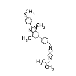 CSc1ccc(-c2nc3c(C)cc(-c4ccc(CN5CC6(C5)CN(CC(C)C)C6)cc4)cc3n2C)cc1